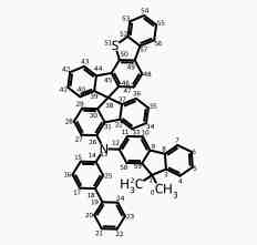 CC1(C)c2ccccc2-c2ccc(N(c3cccc(-c4ccccc4)c3)c3cccc4c3-c3ccccc3C43c4ccccc4-c4c3ccc3c4sc4ccccc43)cc21